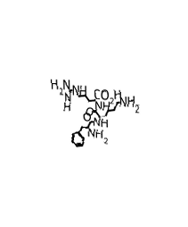 N=C(N)NCCC[C@H](NC(=O)[C@H](CCCCN)NC(=O)[C@H](N)Cc1ccccc1)C(=O)O